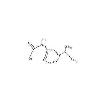 CN(C)c1cccc(N(C)C(=O)S)c1